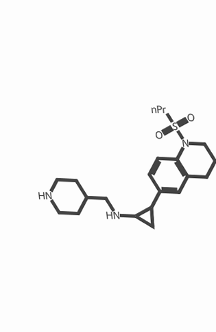 CCCS(=O)(=O)N1CCCc2cc(C3CC3NCC3CCNCC3)ccc21